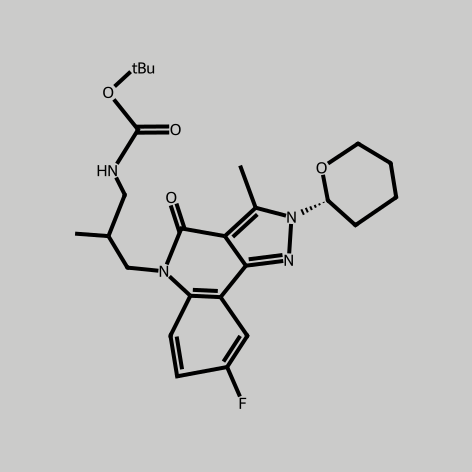 Cc1c2c(=O)n(CC(C)CNC(=O)OC(C)(C)C)c3ccc(F)cc3c2nn1[C@H]1CCCCO1